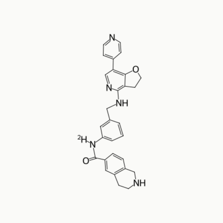 [2H]N(C(=O)c1ccc2c(c1)CCNC2)c1cccc(CNc2ncc(-c3ccncc3)c3c2CCO3)c1